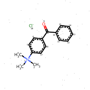 C[N+](C)(C)c1ccc(C(=O)c2ccccc2)cc1.[Cl-]